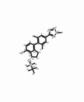 Cc1cc(-c2nnn(C)n2)cc(C)c1-c1ccc(F)c2c1CC[C@@H]2O[Si](C)(C)C(C)(C)C